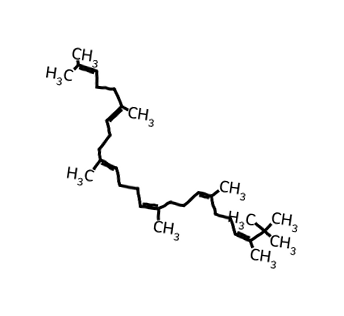 CC(C)=CCCC(C)=CCCC(C)=CCCC=C(C)CCC=C(C)CCC=C(C)C(C)(C)C